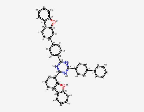 c1ccc(-c2ccc(-c3nc(-c4ccc(-c5ccc6c(c5)oc5ccccc56)cc4)nc(-c4cccc5c4oc4ccccc45)n3)cc2)cc1